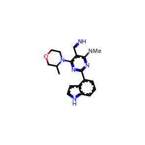 CNc1nc(-c2cccc3[nH]ccc23)nc(N2CCOCC2C)c1C=N